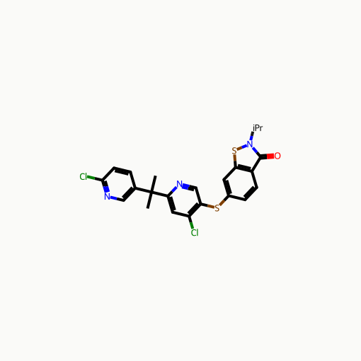 CC(C)n1sc2cc(Sc3cnc(C(C)(C)c4ccc(Cl)nc4)cc3Cl)ccc2c1=O